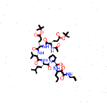 C=CCNC(=O)C(=O)C(CCC)NC(=O)[C@@H]1CCCN1C(=O)[C@H](CCC(C)C)NC(=O)[C@@H](NC(=O)[C@H](CCC(=O)OC(C)(C)C)NC(=O)[C@H](CCC(=O)OC(C)(C)C)NC(C)=O)C(C)C